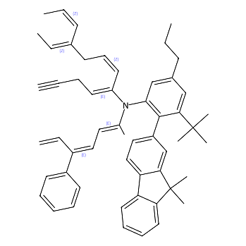 C#CC/C=C(\C=C/CC(/C=C\C)=C/C)N(/C(C)=C/C=C(\C=C)c1ccccc1)c1cc(CCC)cc(C(C)(C)C)c1-c1ccc2c(c1)C(C)(C)c1ccccc1-2